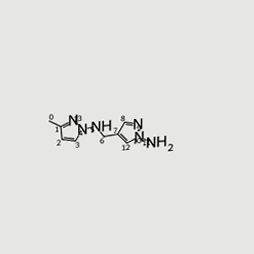 Cc1ccn(NCc2cnn(N)c2)n1